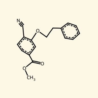 COC(=O)c1ccc(C#N)c(OCCc2ccccc2)c1